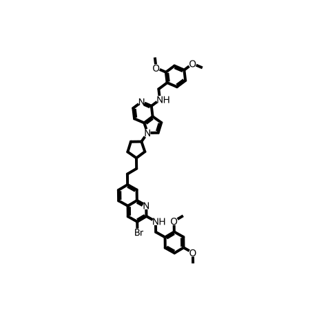 COc1ccc(CNc2nc3cc(CCC4CCC(n5ccc6c(NCc7ccc(OC)cc7OC)nccc65)C4)ccc3cc2Br)c(OC)c1